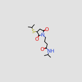 CC(C)NC(=O)CCCN1C(=O)CC(SC(C)C)C1=O